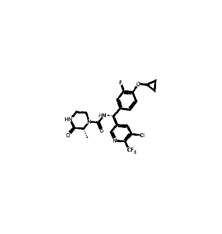 C[C@@H]1C(=O)NCCN1C(=O)N[C@H](c1ccc(OC2CC2)c(F)c1)c1cnc(C(F)(F)F)c(Cl)c1